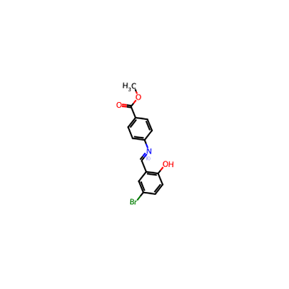 COC(=O)c1ccc(/N=C/c2cc(Br)ccc2O)cc1